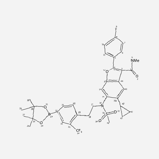 CNC(=O)c1c(-c2ccc(F)cc2)oc2cc(N(CCc3ccc(B4OC(C)(C)C(C)(C)O4)cc3C(F)(F)F)S(C)(=O)=O)c(C3CC3)cc12